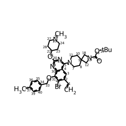 C=Cc1cc2c(N3CCC4(CC3)CN(C(=O)OC(C)(C)C)C4)nc(OC3CCN(C)CC3)nc2c(OCc2ccc(C)cc2)c1Br